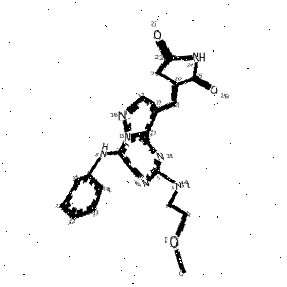 COCCNc1nc(Nc2ccccc2)n2ncc(/C=C3\CC(=O)NC3=O)c2n1